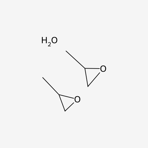 CC1CO1.CC1CO1.O